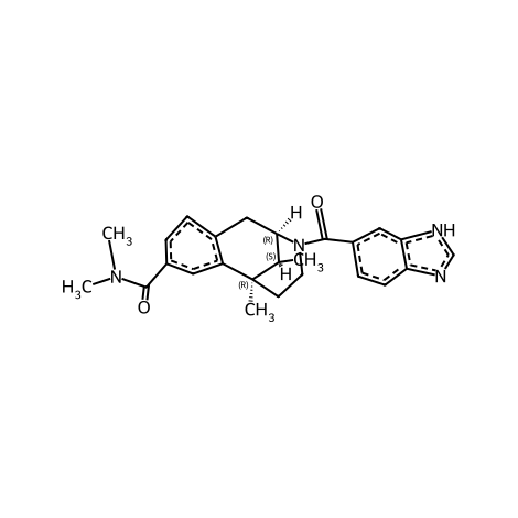 C[C@@H]1[C@H]2Cc3ccc(C(=O)N(C)C)cc3[C@]1(C)CCN2C(=O)c1ccc2nc[nH]c2c1